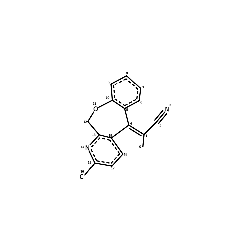 C/C(C#N)=C1/c2ccccc2OCc2nc(Cl)ccc21